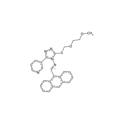 COCCOCSc1nnc(-c2cccnc2)n1/N=C/c1c2ccccc2cc2ccccc12